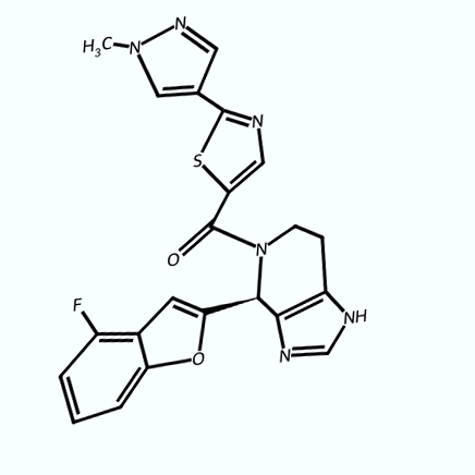 Cn1cc(-c2ncc(C(=O)N3CCc4[nH]cnc4[C@H]3c3cc4c(F)cccc4o3)s2)cn1